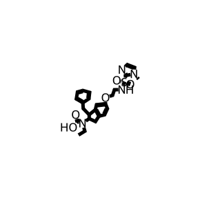 CCN(C(=O)O)C1Cc2ccc(OCCNS(=O)(=O)c3nccn3C)cc2C1Cc1ccccc1